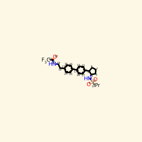 CC(C)S(=O)(=O)NC1CCCC1c1ccc(-c2ccc(CCNC(=O)C(F)(F)F)cc2)cc1